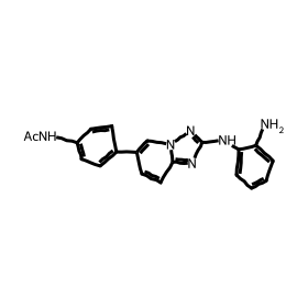 CC(=O)Nc1ccc(-c2ccc3nc(Nc4ccccc4N)nn3c2)cc1